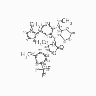 CCN(c1ncc(-c2cccn2C)cc1CN1C(=O)O[C@H](c2cc(C)cc(C(F)(F)F)c2)[C@@H]1C)C1CCCCC1